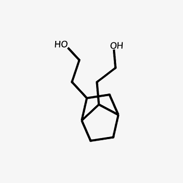 OCCC1CC2CCC1C2CCO